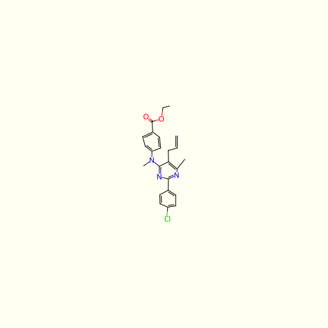 C=CCc1c(C)nc(-c2ccc(Cl)cc2)nc1N(C)c1ccc(C(=O)OCC)cc1